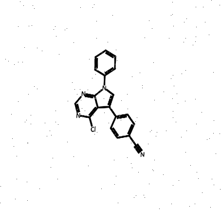 N#Cc1ccc(-c2cn(-c3ccccc3)c3ncnc(Cl)c23)cc1